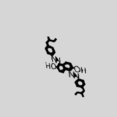 CCC(C)Cc1ccc(N=Nc2c(O)ccc3c(N=Nc4ccc(CC(C)CC)cc4)c(O)ccc23)cc1